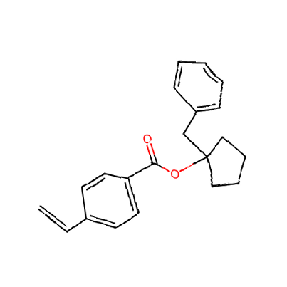 C=Cc1ccc(C(=O)OC2(Cc3ccccc3)CCCC2)cc1